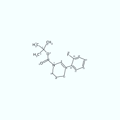 CC(C)(C)OC(=O)N1C=C(c2ccccc2F)CCC1